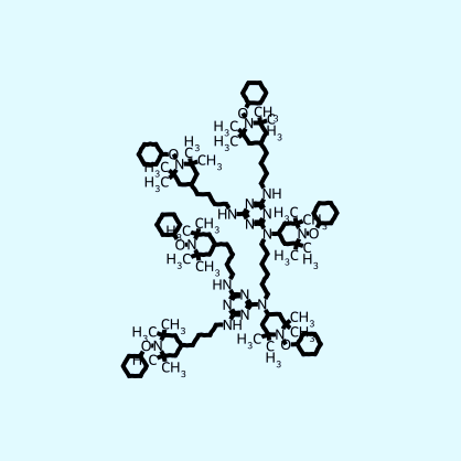 CC1(C)CC(CCCCNc2nc(NCCCCC3CC(C)(C)N(OC4CCCCC4)C(C)(C)C3)nc(N(CCCCCCN(c3nc(NCCCCC4CC(C)(C)N(OC5CCCCC5)C(C)(C)C4)nc(NCCCCC4CC(C)(C)N(OC5CCCCC5)C(C)(C)C4)n3)C3CC(C)(C)N(OC4CCCCC4)C(C)(C)C3)C3CC(C)(C)N(OC4CCCCC4)C(C)(C)C3)n2)CC(C)(C)N1OC1CCCCC1